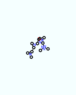 CN1C(c2ccccc2)=NC(c2ccccc2)=NC1c1ccc(-n2c3ccccc3c3ccccc32)c(-n2c3ccccc3c3cc(-n4c5ccccc5c5cc(-c6ccc7c(c6)c6ccccc6n7-c6ccccc6)ccc54)ccc32)c1